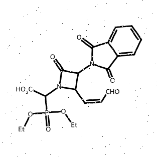 CCOP(=O)(OCC)C(C(=O)O)N1C(=O)C(N2C(=O)c3ccccc3C2=O)C1/C=C\C=O